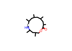 CC1CNC(C)CC(C)COC(=O)C(C)CC(C)CC(C)C1